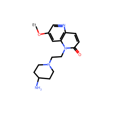 CCOc1cnc2ccc(=O)n(CCN3CCC(N)CC3)c2c1